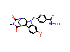 COc1ccc2c3c(n(Cc4ccc(C(=O)NO)cc4)c2c1)CN1CC3C(=O)N(C)C1=O